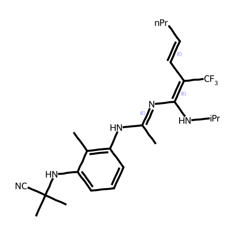 CCC/C=C/C(=C(\N=C(/C)Nc1cccc(NC(C)(C)C#N)c1C)NC(C)C)C(F)(F)F